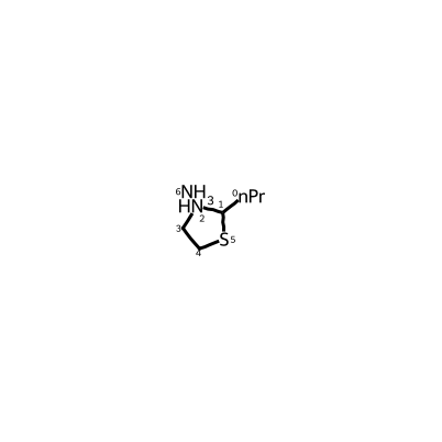 CCCC1NCCS1.N